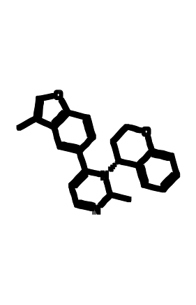 Cc1coc2ccc(C3=CC=NC(C)N3[C@@H]3CCOc4ccccc43)cc12